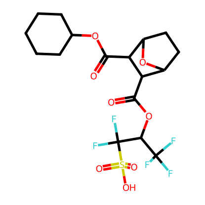 O=C(OC1CCCCC1)C1C2CCC(O2)C1C(=O)OC(C(F)(F)F)C(F)(F)S(=O)(=O)O